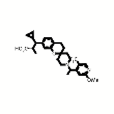 COc1cc(C(C)N2CCC3(CCc4ccc(C(C5CC5)[C@H](C)C(=O)O)cc4O3)CC2)c(C(F)(F)F)cn1